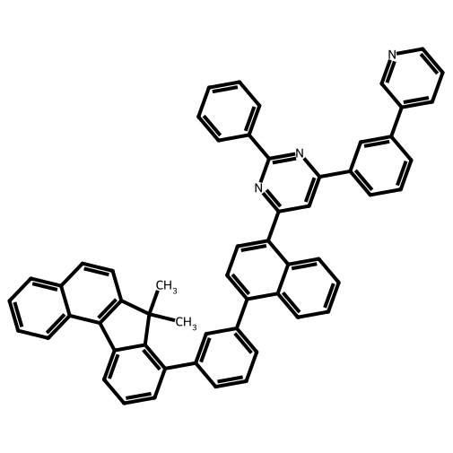 CC1(C)c2ccc3ccccc3c2-c2cccc(-c3cccc(-c4ccc(-c5cc(-c6cccc(-c7cccnc7)c6)nc(-c6ccccc6)n5)c5ccccc45)c3)c21